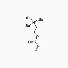 C=C(C)C(=O)OCC[N+](C(C)(C)C)(C(C)(C)C)C(C)(C)C